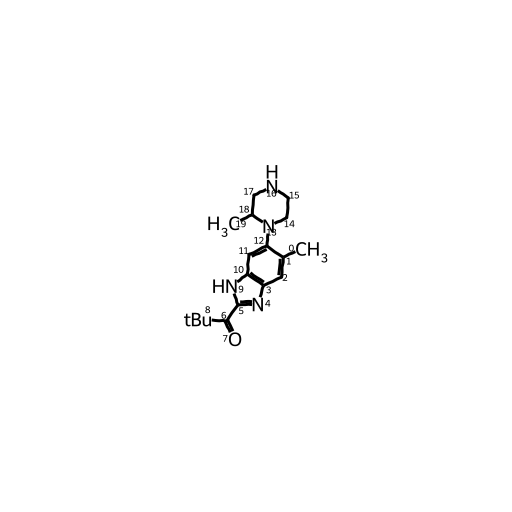 Cc1cc2nc(C(=O)C(C)(C)C)[nH]c2cc1N1CCNCC1C